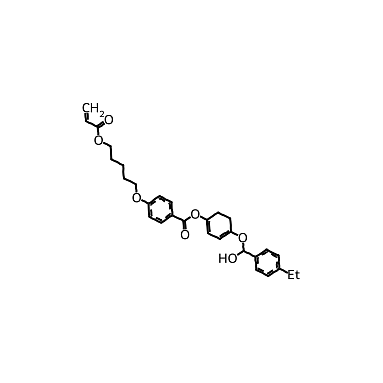 C=CC(=O)OCCCCCOc1ccc(C(=O)OC2=CC=C(OC(O)c3ccc(CC)cc3)CC2)cc1